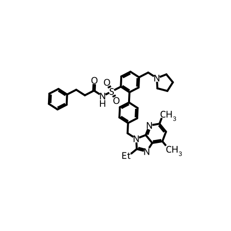 CCc1nc2c(C)cc(C)nc2n1Cc1ccc(-c2cc(CN3CCCC3)ccc2S(=O)(=O)NC(=O)CCc2ccccc2)cc1